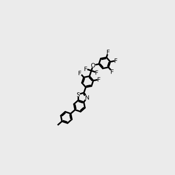 Cc1ccc(-c2ccc3nc(-c4cc(F)c(C(F)(F)Oc5cc(F)c(F)c(F)c5)c(F)c4)sc3c2)cc1